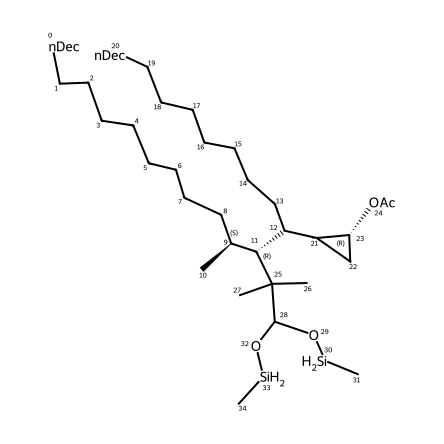 CCCCCCCCCCCCCCCCCC[C@H](C)[C@H](C(CCCCCCCCCCCCCCCCC)[C]1C[C@H]1OC(C)=O)C(C)(C)C(O[SiH2]C)O[SiH2]C